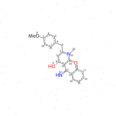 COc1ccc(Cc2cc(O)c(C(=N)c3ccccc3)c(=O)n2C)cc1